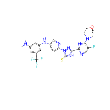 CN(C)c1cc(Nc2ccc(-n3nc(-c4ncc(F)c(N5CCOCC5)n4)[nH]c3=S)nc2)cc(C(F)(F)F)c1